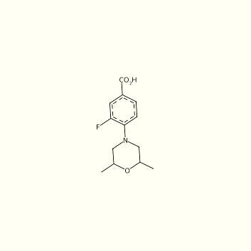 CC1CN(c2ccc(C(=O)O)cc2F)CC(C)O1